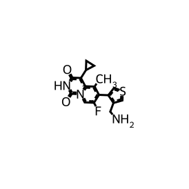 Cc1c(-c2cscc2CN)c(F)cn2c(=O)[nH]c(=O)c(C3CC3)c12